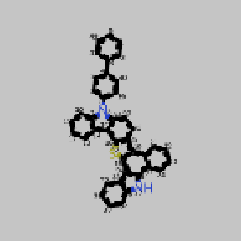 c1ccc(-c2ccc(-n3c4ccccc4c4c5sc6c(c7ccccc7c7[nH]c8ccccc8c76)c5ccc43)cc2)cc1